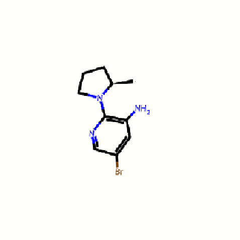 [CH2][C@@H]1CCCN1c1ncc(Br)cc1N